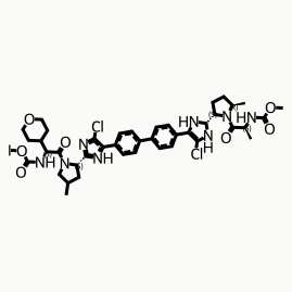 COC(=O)N[C@@H](C)C(=O)N1[C@H](C)CC[C@H]1C1NC(Cl)=C(c2ccc(-c3ccc(-c4[nH]c([C@@H]5CC(C)CN5C(=O)[C@@H](NC(=O)OI)C5CCOCC5)nc4Cl)cc3)cc2)N1